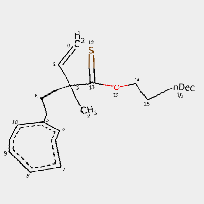 C=CC(C)(Cc1ccccc1)C(=S)OCCCCCCCCCCCC